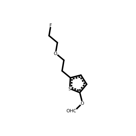 O=COc1ccc(CCOCCF)s1